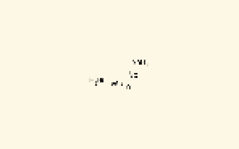 [BiH3].[Mo].[Nb].[SnH4].[Zr]